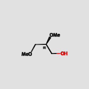 COC[C@H](CO)OC